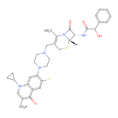 O=C(O)C1=C(CN2CCN(c3cc4c(cc3F)c(=O)c(C(=O)O)cn4C3CC3)CC2)CS[C@H]2[C@@H](NC(=O)C(O)c3ccccc3)C(=O)N12